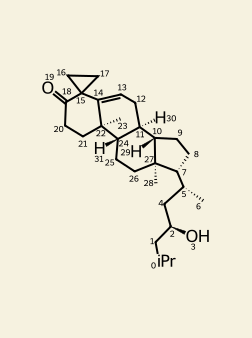 CC(C)C[C@H](O)C[C@@H](C)[C@H]1CC[C@H]2[C@@H]3CC=C4C5(CC5)C(=O)CC[C@]4(C)[C@H]3CC[C@]12C